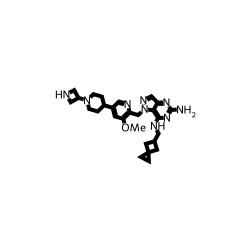 COc1cc(C2CCN(C3CNC3)CC2)cnc1Cn1ncc2nc(N)nc(NCC3CC4(CC4)C3)c21